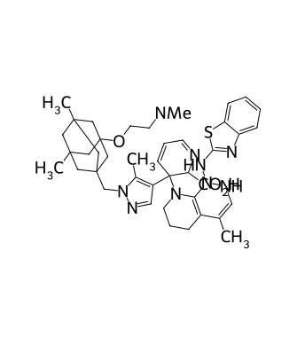 CNCCOC12CC3(C)CC(C)(CC(Cn4ncc(C5(N6CCCC7=C6N(Nc6nc8ccccc8s6)NC=C7C)C=CC=NC5C(=O)O)c4C)(C3)C1)C2